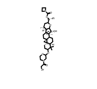 CC(C)CC(=O)N1CCOC(OC2CC[C@]34C[C@]35CC[C@]3(C)[C@@H]6C(OC([C@H](OC(=O)N7CCC7)C(C)C)C[C@H]6C)[C@H](O)[C@@]3(C)C5CC[C@H]4C2(C)C)C1